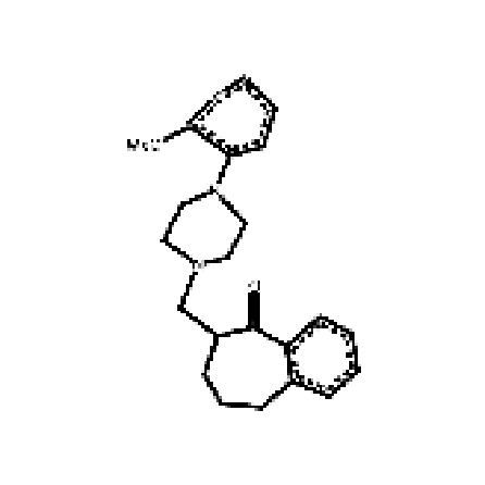 COc1ccccc1N1CCN(CC2CCCc3ccccc3C2=O)CC1